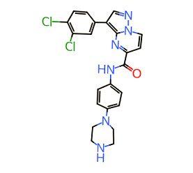 O=C(Nc1ccc(N2CCNCC2)cc1)c1ccn2ncc(-c3ccc(Cl)c(Cl)c3)c2n1